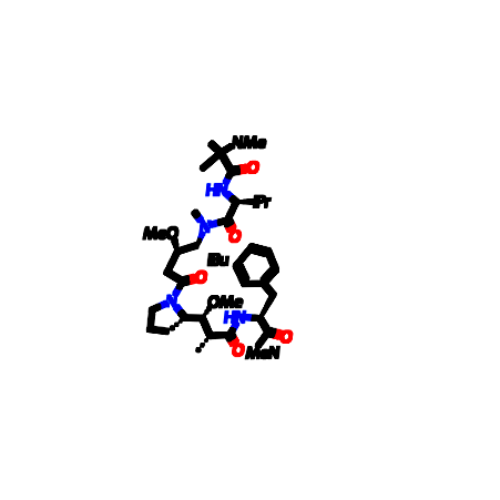 CC[C@H](C)[C@@H]([C@@H](CC(=O)N1CCC[C@H]1[C@H](OC)[C@@H](C)C(=O)N[C@@H](Cc1ccccc1)C(=O)NC)OC)N(C)C(=O)[C@@H](NC(=O)C(C)(C)NC)C(C)C